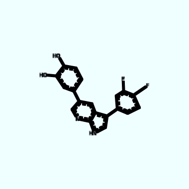 Oc1ccc(-c2cnc3[nH]cc(-c4ccc(F)c(F)c4)c3c2)cc1O